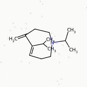 C=C1CCN(C(C)C)CC/C=C/1C(C)C